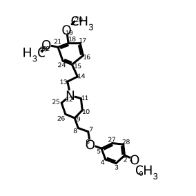 COc1ccc(OCCC2CCN(CCc3ccc(OC)c(OC)c3)CC2)cc1